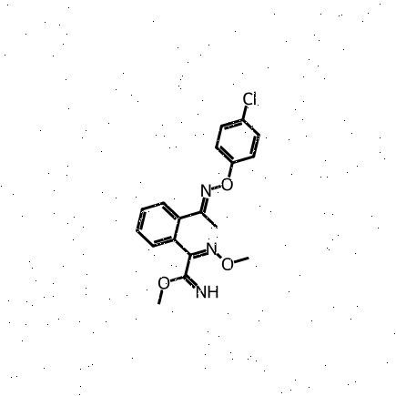 CON=C(C(=N)OC)c1ccccc1C(C)=NOc1ccc(Cl)cc1